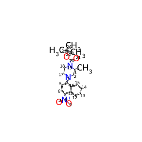 CC1CN(c2ccc([N+](=O)[O-])c3ccccc23)CCN1C(=O)OC(C)(C)C